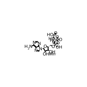 Nc1ncnc2c1ncn2[C@@H]1O[C@H](COP(=O)(O)OP(=O)(O)OP(=O)(O)O)C(O)C1O.[Mn]